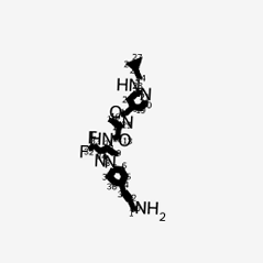 NCC#Cc1ccc(-n2cc(NC(=O)c3coc(-c4ccnc(NCC5CC5)c4)n3)c(C(F)F)n2)cc1